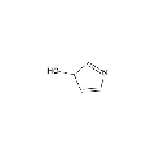 OC1C=CN=C1